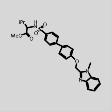 COC(=O)C(NS(=O)(=O)c1ccc(-c2ccc(OCc3nc4ccccc4n3C)cc2)cc1)C(C)C